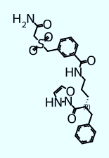 NC(=O)CS(=O)(=O)Cc1cccc(C(=O)NCCC[C@H](Cc2ccccc2)C(=O)N2NC=CO2)c1